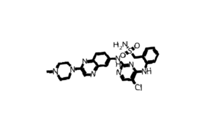 CN1CCN(c2cnc3cc(Nc4ncc(Cl)c(Nc5ccccc5CS(N)(=O)=O)n4)ccc3n2)CC1